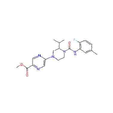 COC(=O)c1cnc(N2CCN(C(=O)Nc3cc(C)ccc3F)C(C(C)C)C2)cn1